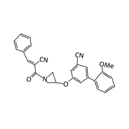 COc1ccccc1-c1cc(C#N)cc(OC2CN(C(=O)/C(C#N)=C/c3ccccc3)C2)c1